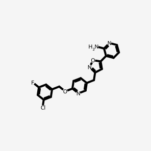 Nc1ncccc1-c1cc(Cc2ccc(OCc3cc(F)cc(Cl)c3)nc2)no1